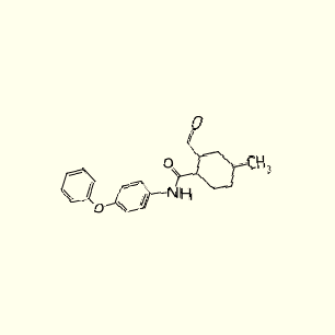 CC1CCC(C(=O)Nc2ccc(Oc3ccccc3)cc2)C(C=O)C1